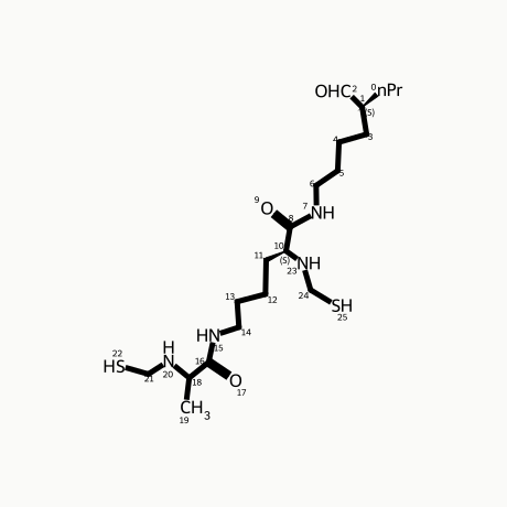 CCC[C@H](C=O)CCCCNC(=O)[C@H](CCCCNC(=O)C(C)NCS)NCS